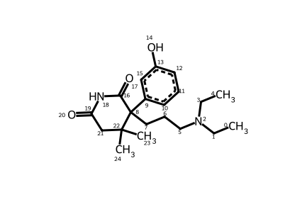 CCN(CC)CCCC1(c2cccc(O)c2)C(=O)NC(=O)CC1(C)C